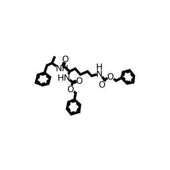 CC(Cc1ccccc1)NC(=O)C(CCCCNC(=O)OCc1ccccc1)NC(=O)OCc1ccccc1